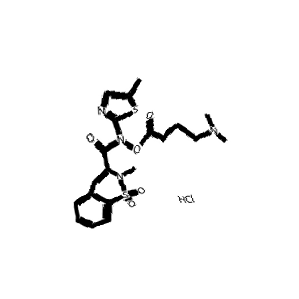 Cc1cnc(N(OC(=O)CCCN(C)C)C(=O)C2=Cc3ccccc3S(=O)(=O)N2C)s1.Cl